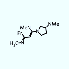 C/N=C(/C=C(\NC)N1CC[C@H](NC)C1)C(C)C